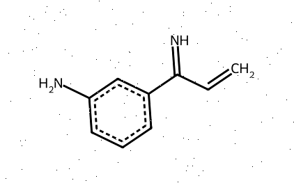 C=CC(=N)c1cccc(N)c1